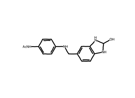 CC(=O)Nc1ccc(NCc2ccc3c(c2)NC(O)N3)cc1